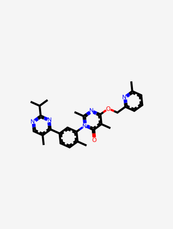 Cc1cccc(COc2nc(C)n(-c3cc(-c4nc(C(C)C)ncc4C)ccc3C)c(=O)c2C)n1